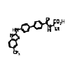 CC[C@H](NC(=O)c1ccc(-c2ccc(Nc3nc4ccc(C(F)(F)F)cc4s3)cc2)cc1)C(=O)O